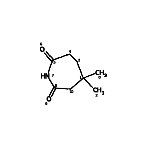 CC1(C)CCC(=O)NC(=O)C1